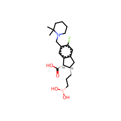 CC1(C)CCCCN1Cc1cc2c(cc1F)C[C@H](CCCB(O)O)[C@@H]2C(=O)O